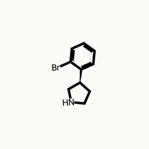 Brc1ccccc1[C@H]1CCNC1